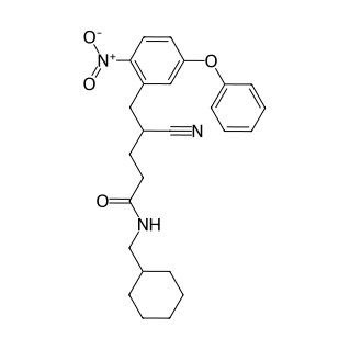 N#CC(CCC(=O)NCC1CCCCC1)Cc1cc(Oc2ccccc2)ccc1[N+](=O)[O-]